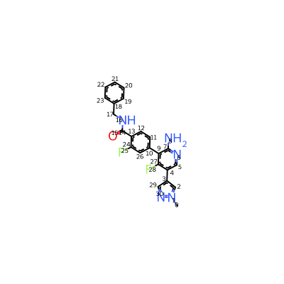 Cn1cc(-c2cnc(N)c(-c3ccc(C(=O)NCc4ccccc4)c(F)c3)c2F)cn1